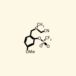 COc1ccc(CN(C)CC#N)c(OS(=O)(=O)C(F)(F)F)c1